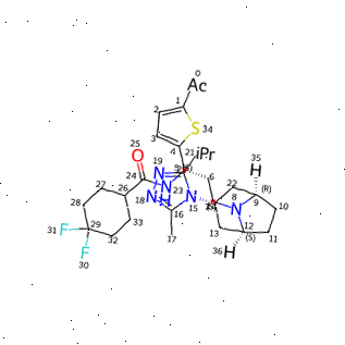 CC(=O)c1ccc([C@H](CCN2[C@@H]3CC[C@H]2C[C@H](n2c(C)nnc2C(C)C)C3)NC(=O)C2CCC(F)(F)CC2)s1